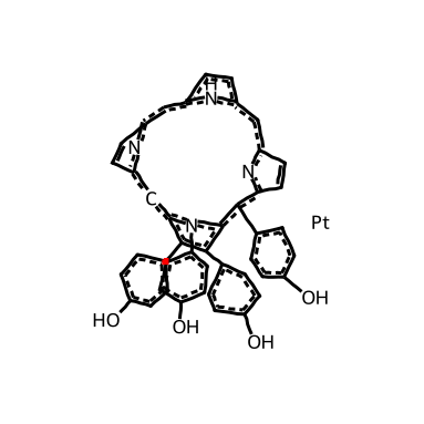 Oc1ccc(-c2c(-c3ccc(O)cc3)c3c(-c4ccc(O)cc4)c4nc(cc5ccc(cc6nc(cc2n3-c2ccc(O)cc2)C=C6)[nH]5)C=C4)cc1.[Pt]